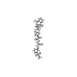 CCn1cc(S(=O)(=O)N2CCC3(CC2)C[C@@H](NC(=O)OCC(O)COc2cccc(S(=O)(=O)C4CC4)c2)CO3)c(=O)c2ccccc21